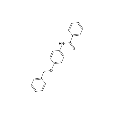 S=C(Nc1ccc(OCc2ccccc2)cc1)c1ccccc1